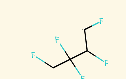 F[CH]C(F)C(F)(F)CF